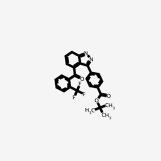 CC(C)(C)OC(=O)c1ccc(C2=NN=C3CC=CC(C(=O)c4ccccc4C(F)(F)F)=C32)cc1